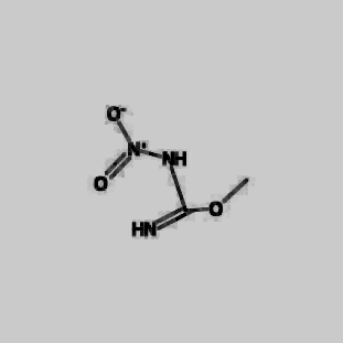 COC(=N)N[N+](=O)[O-]